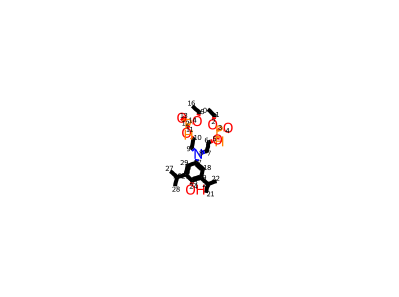 CCO[PH](=O)OCCN(CCO[PH](=O)OCC)c1cc(C(C)C)c(O)c(C(C)C)c1